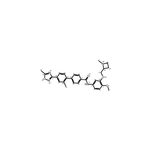 COc1ccc(NC(=O)c2ccc(-c3ccc(-c4noc(C)n4)cc3C)cc2)cc1OCC1CCN1C